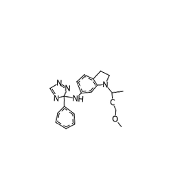 COCCC(C)N1CCc2ccc(NC3(c4ccccc4)N=CN=N3)cc21